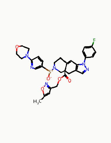 Cc1cc(COC(=O)[C@]23Cc4cnn(-c5ccc(F)cc5)c4C=C2CCN([S+]([O-])c2ccc(N4CCOCC4)nc2)C3)no1